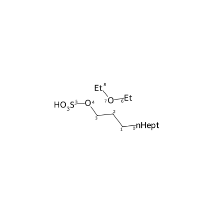 CCCCCCCCCCOS(=O)(=O)O.CCOCC